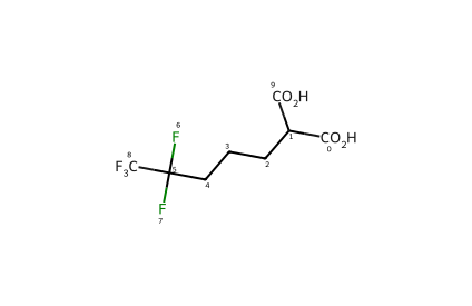 O=C(O)C(CCCC(F)(F)C(F)(F)F)C(=O)O